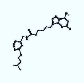 CC(C)CCOc1cccc(CNC(=O)OCCCCn2cnc3c(N)nc(Cl)nc32)c1